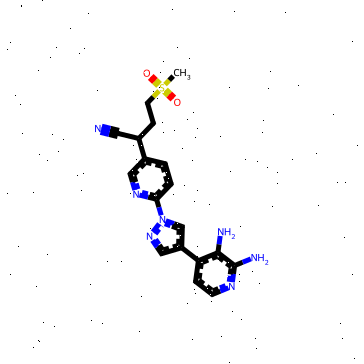 CS(=O)(=O)CCC(C#N)c1ccc(-n2cc(-c3ccnc(N)c3N)cn2)nc1